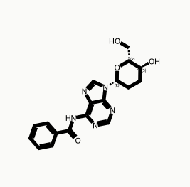 O=C(Nc1ncnc2c1ncn2[C@H]1CC[C@H](O)[C@@H](CO)O1)c1ccccc1